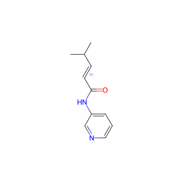 CC(C)/C=C/C(=O)Nc1cccnc1